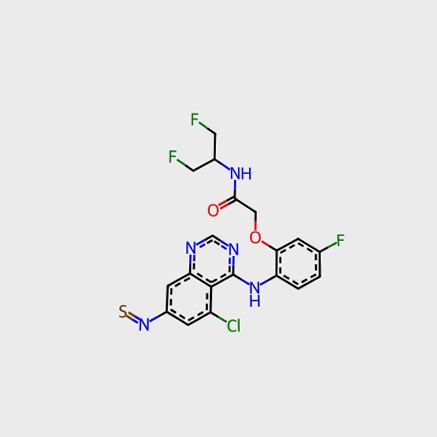 O=C(COc1cc(F)ccc1Nc1ncnc2cc(N=S)cc(Cl)c12)NC(CF)CF